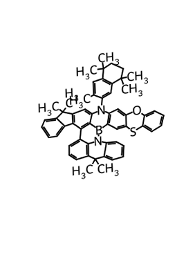 Cc1cc2c(cc1N1c3cc4c(cc3B3c5c1cc1c(c5-c5cccc6c5N3c3ccccc3C6(C)C)-c3ccccc3C1(C)C)Sc1ccccc1O4)C(C)(C)CCC2(C)C